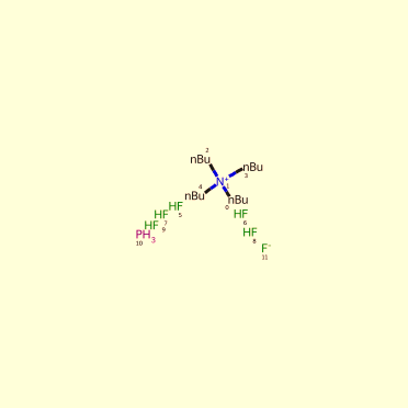 CCCC[N+](CCCC)(CCCC)CCCC.F.F.F.F.F.P.[F-]